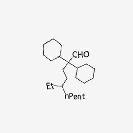 CCCCCC(CC)CCC(C=O)(C1CCCCC1)C1CCCCC1